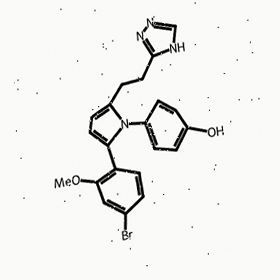 COc1cc(Br)ccc1-c1ccc(CCc2nnc[nH]2)n1-c1ccc(O)cc1